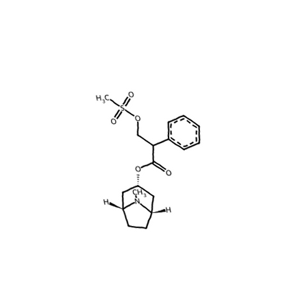 CN1[C@@H]2CC[C@H]1C[C@@H](OC(=O)C(COS(C)(=O)=O)c1ccccc1)C2